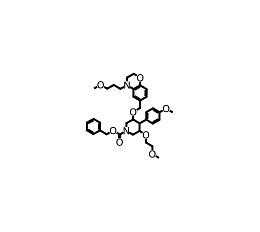 COCCCN1CCOc2ccc(COC3CN(C(=O)OCc4ccccc4)CC(OCCOC)C3c3ccc(OC)cc3)cc21